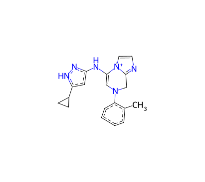 Cc1ccccc1N1C=C(Nc2cc(C3CC3)[nH]n2)[N+]2C=CN=C2C1